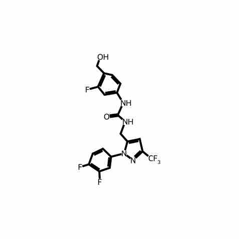 O=C(NCc1cc(C(F)(F)F)nn1-c1ccc(F)c(F)c1)Nc1ccc(CO)c(F)c1